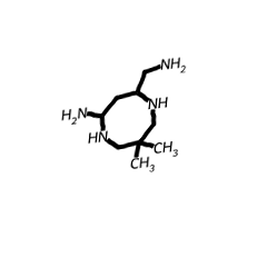 CC1(C)CNC(N)CC(CN)NC1